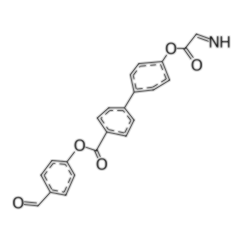 N=CC(=O)Oc1ccc(-c2ccc(C(=O)Oc3ccc(C=O)cc3)cc2)cc1